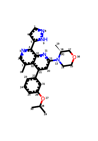 Cc1cnc(-c2ccn[nH]2)c2nc(N3CCOC[C@H]3C)cc(-c3cccc(OC(C)C)c3)c12